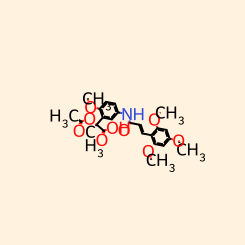 COc1cc(OC)c(C=CC(=O)Nc2ccc(OC)c(C(C)(OC(C)=O)C(=O)O)c2)c(OC)c1